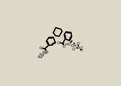 C1CCCCC1.CO.CO.O=C([O-])c1ccccc1.O=C([O-])c1ccccc1.[Na+].[Na+].[Na+].[O-][Br+2]([O-])[O-]